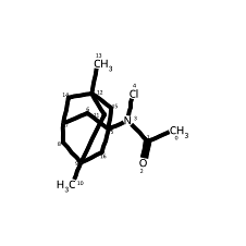 CC(=O)N(Cl)C12CC3CC(C)(CC(C)(C3)C1)C2